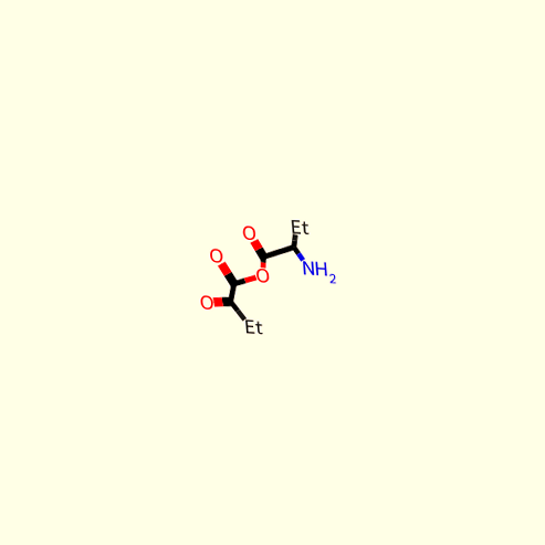 CCC(=O)C(=O)OC(=O)C(N)CC